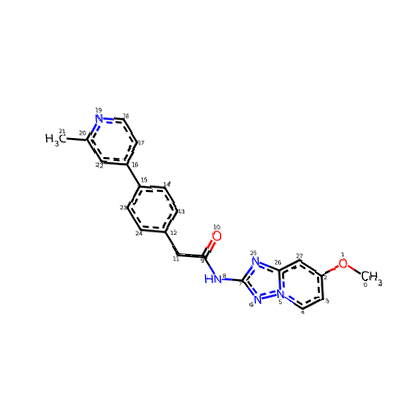 COc1ccn2nc(NC(=O)Cc3ccc(-c4ccnc(C)c4)cc3)nc2c1